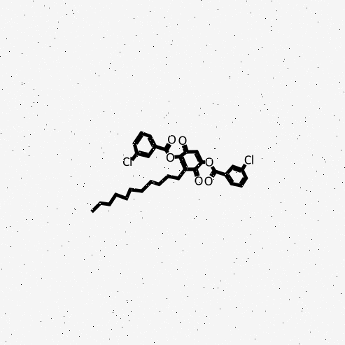 CCCCCCCCCCCC1=C(OC(=O)c2cccc(Cl)c2)C(=O)C=C(OC(=O)c2cccc(Cl)c2)C1=O